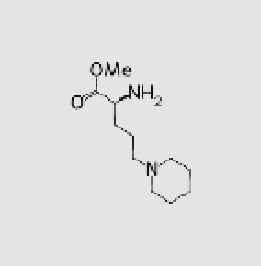 COC(=O)[C@@H](N)CCCN1CCCCC1